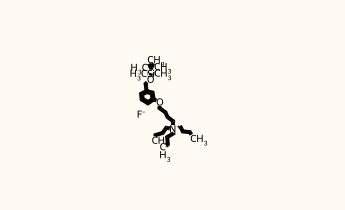 CCCC[N+](CCCC)(CCCC)CCCCOc1cccc(CO[Si](C)(C)C(C)(C)C)c1.[F-]